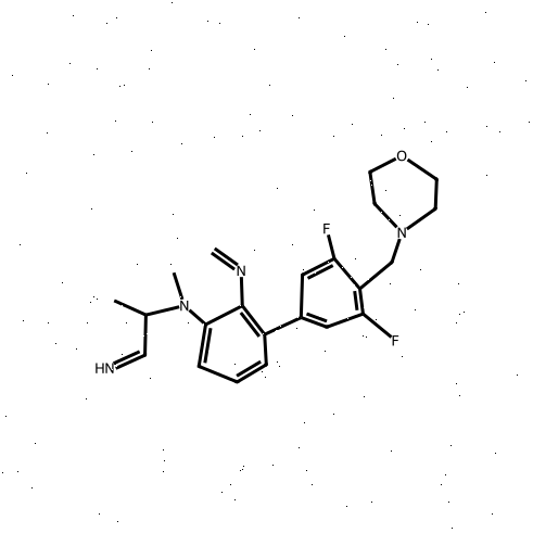 C=Nc1c(-c2cc(F)c(CN3CCOCC3)c(F)c2)cccc1N(C)C(C)C=N